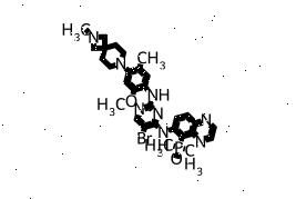 COc1cc(N2CCC3(CC2)CN(C)C3)c(C)cc1Nc1ncc(Br)c(Nc2ccc3nccnc3c2P(C)(C)=O)n1